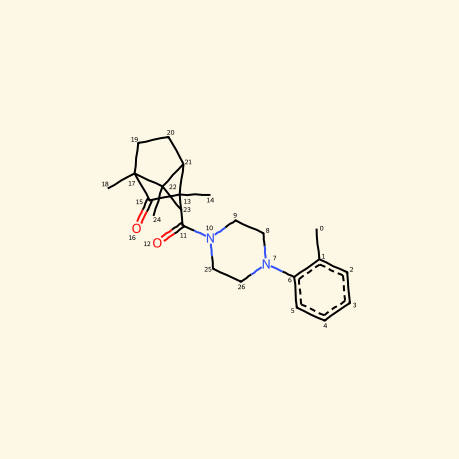 Cc1ccccc1N1CCN(C(=O)C2(C)C(=O)C3(C)CCC2C3(C)C)CC1